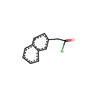 O=C(Br)Cc1ccc2ccccc2c1